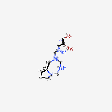 Br/C=C(\Br)CNCN1CNCN2CCCC2C1